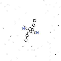 C1=CC(c2cc(-c3ccc(-c4ccccc4)cc3)c3ccc4c(-c5cccnc5)cc(-c5ccc(-c6ccccc6)cc5)c5ccc2c3c54)CN=C1